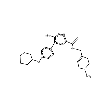 CCCCc1nnc(C(=O)NCC2=CCN(C)CC2)cc1-c1ccc(OC2CCCCC2)cc1